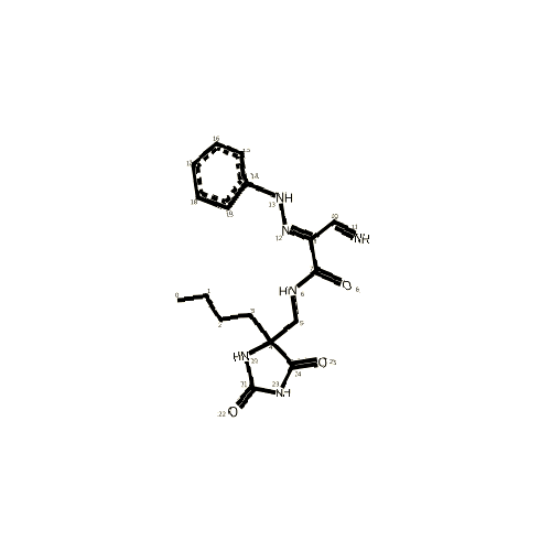 CCCCC1(CNC(=O)/C(C=N)=N/Nc2ccccc2)NC(=O)NC1=O